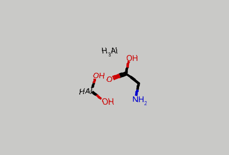 NCC(=O)O.[AlH3].[OH][AlH][OH]